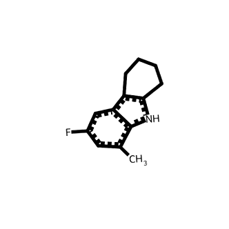 Cc1cc(F)cc2c3c([nH]c12)CCCC3